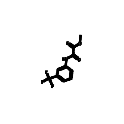 COC(=O)C(=O)Nc1cccc(C(F)(F)F)c1